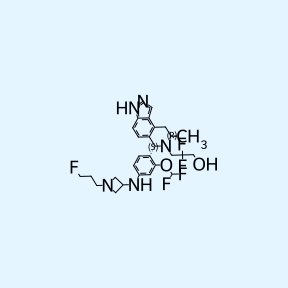 C[C@@H]1Cc2c(ccc3[nH]ncc23)[C@@H](c2ccc(NC3CN(CCCF)C3)cc2OC(F)F)N1CC(F)(F)CO